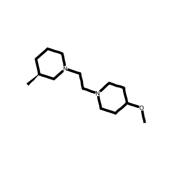 COC1CCN(CCN2CCC[C@H](C)C2)CC1